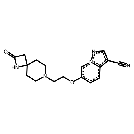 N#Cc1cnn2cc(OCCN3CCC4(CC3)CC(=O)N4)ccc12